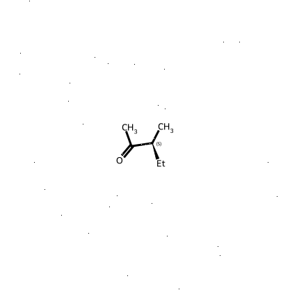 CC[C@H](C)C(C)=O